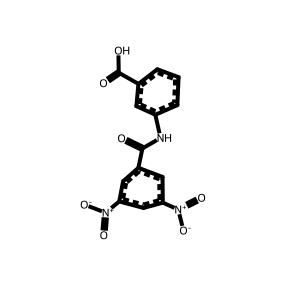 O=C(O)c1cccc(NC(=O)c2cc([N+](=O)[O-])cc([N+](=O)[O-])c2)c1